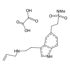 C=CCNCCc1c[nH]c2ccc(CCS(=O)(=O)NC)cc12.O=C(O)C(=O)O